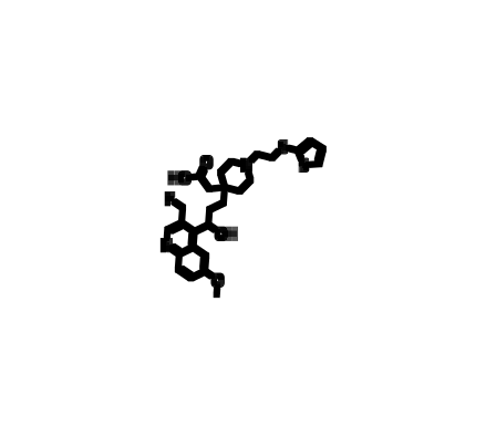 COc1ccc2ncc(CF)c(C(O)CCC3(CC(=O)O)CCN(CCSc4cccs4)CC3)c2c1